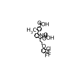 Cc1cc(C(=O)O)ccc1-c1cccc2c(CCCOc3cccc(C(F)(F)F)c3Cl)c(OC(=O)O)[nH]c12